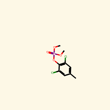 COP(=O)(OC)Oc1c(Cl)cc(C)cc1Cl